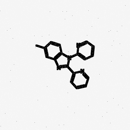 Cc1ccc2c(c1)nc(-c1ccccn1)n2-c1ccccn1